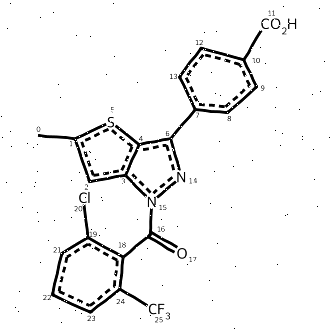 Cc1cc2c(s1)c(-c1ccc(C(=O)O)cc1)nn2C(=O)c1c(Cl)cccc1C(F)(F)F